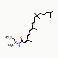 C=C(C)CCCC(C)(C)C/C=C/C(C)=C/C=C/C(C)=C\C(=O)N[C@@H](CS(=O)(=O)O)C(=O)O